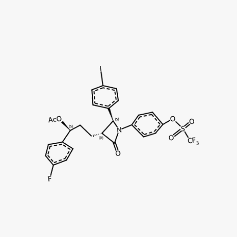 CC(=O)O[C@@H](CC[C@H]1C(=O)N(c2ccc(OS(=O)(=O)C(F)(F)F)cc2)[C@@H]1c1ccc(I)cc1)c1ccc(F)cc1